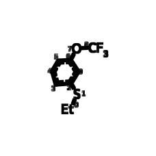 [CH2]CSc1cccc(OC(F)(F)F)c1